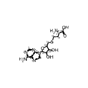 Nc1ncnc2c1ncn2C1OC(CSCC[C@H](N)C(=O)O)C(O)C1O